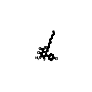 CCCCCCCCCCN1C(c2ccc(Cl)cc2)=C(F)C(N)=C(Cl)C1C(=O)O